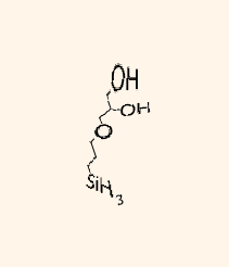 OCC(O)COCCC[SiH3]